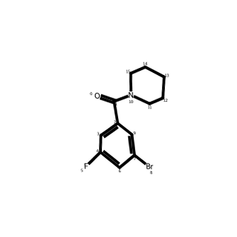 O=C(c1cc(F)cc(Br)c1)N1CCCCC1